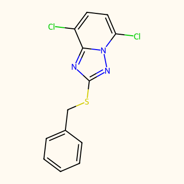 Clc1ccc(Cl)n2nc(SCc3ccccc3)nc12